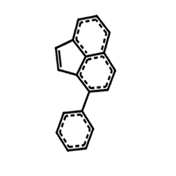 C1=Cc2c(-c3ccccc3)ccc3cccc1c23